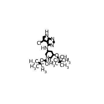 CC(C)(C)OC(=O)N1CC(Nc2ncnc3[nH]cc(Cl)c23)CC(O[Si](C)(C)C(C)(C)C)C1